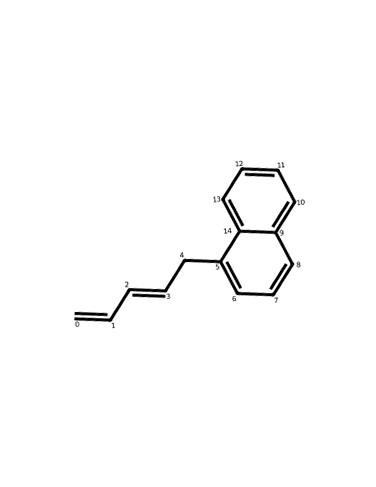 C=CC=CCc1cccc2ccccc12